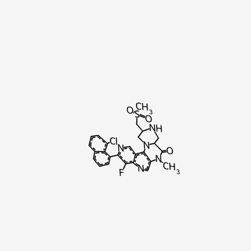 CN1C(=O)C2CNC(CS(C)(=O)=O)CN2c2c1cnc1c(F)c(-c3cccc4cccc(Cl)c34)ncc21